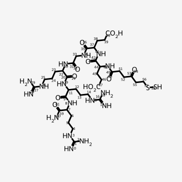 N=C(N)NCCCC(NC(=O)C(CCCNC(=N)N)NC(=O)C(CCCNC(=N)N)NC(=O)CNC(=O)C(CCC(=O)O)NC(=O)C(CCC(=O)O)NC(=O)CCC(=O)CCSS)C(N)=O